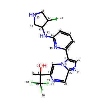 CC(O)(c1cn2c(-c3cccc(NC4CNCC4F)n3)cnc2cn1)C(F)(F)F